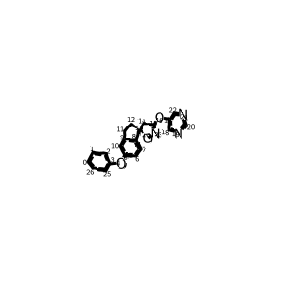 c1ccc(Oc2ccc3c(c2)CC[C@]32CC(Oc3cncnc3)=NO2)cc1